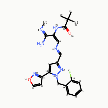 CC\N=C(N)/C(=C\N=C\c1cc(-c2ccon2)n(Cc2ccccc2F)n1)NC(=O)C(C)(C)CC